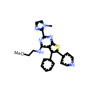 COCCNc1nc(-c2nccn2C)nc2sc(-c3ccncc3)c(-c3ccccc3)c12